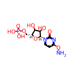 NOc1ccn([C@@H]2O[C@H](COP(=O)(O)O)C(O)C2O)c(=O)n1